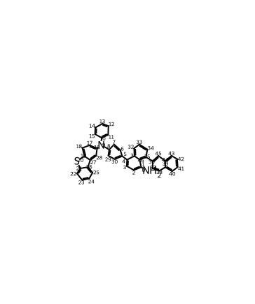 Nc1ccc(-c2ccc(N(c3ccccc3)c3ccc4sc5ccccc5c4c3)cc2)c2cccc(-c3ccc4ccccc4c3)c12